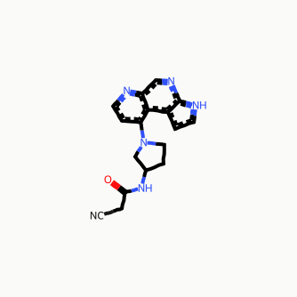 N#CCC(=O)NC1CCN(c2ccnc3cnc4[nH]ccc4c23)C1